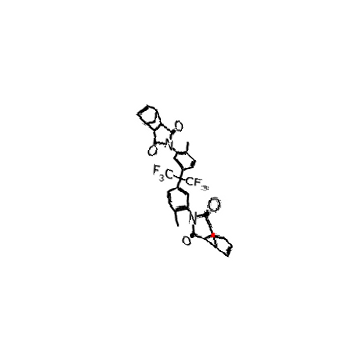 Cc1ccc(C(c2ccc(C)c(N3C(=O)C4C5C=CC(C5)C4C3=O)c2)(C(F)(F)F)C(F)(F)F)cc1N1C(=O)C2C3C=CC(C3)C2C1=O